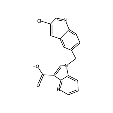 O=C(O)c1cn(Cc2ccc3ncc(Cl)cc3c2)c2cccnc12